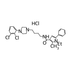 CCn1c(-c2ccccc2)cc(C(=O)NCCCCN2CCN(c3cccc(Cl)c3Cl)CC2)c1C.Cl